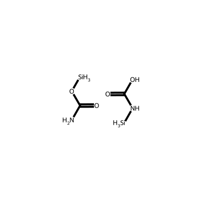 NC(=O)O[SiH3].O=C(O)N[SiH3]